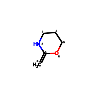 C=C1NCCCO1